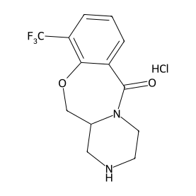 Cl.O=C1c2cccc(C(F)(F)F)c2OCC2CNCCN12